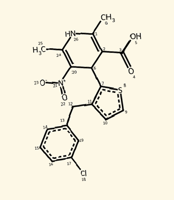 CC1=C(C(=O)O)C(c2sccc2Cc2cccc(Cl)c2)C([N+](=O)[O-])=C(C)N1